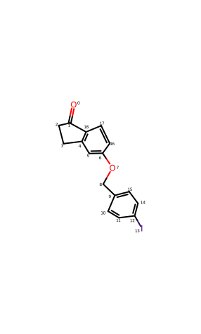 O=C1CCc2cc(OCc3ccc(I)cc3)ccc21